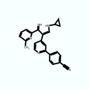 Cc1cccc(C(=N)/C(=C\NC2CC2)c2ccnc(-c3ccc(C#N)cc3)c2)n1